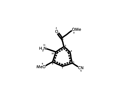 COC(=O)c1cc(C#N)cc(OC)c1N